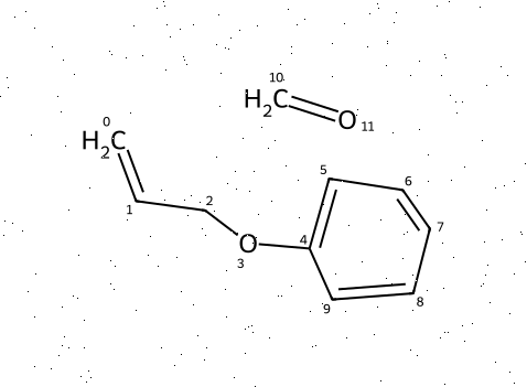 C=CCOc1ccccc1.C=O